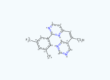 O=C(O)/C(=C/c1ccnc(-c2cc(C(F)(F)F)cc(C(F)(F)F)c2)n1)c1cncnc1